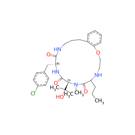 CCCC1NCCOc2ccccc2CCCNC(=O)[C@@H](Cc2ccc(Cl)cc2)NC(=O)[C@H](C(C)(C)O)N(C)C1=O